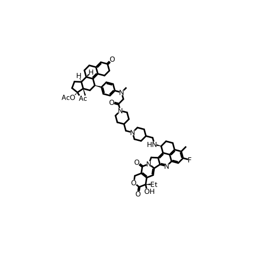 CC[C@@]1(O)C(=O)OCc2c1cc1n(c2=O)Cc2c-1nc1cc(F)c(C)c3c1c2[C@@H](NCC1CCN(CC2CCN(C(=O)CN(C)c4ccc([C@H]5C[C@@]6(C)[C@@H](CC[C@]6(OC(C)=O)C(C)=O)[C@@H]6CCC7=CC(=O)CCC7=C65)cc4)CC2)CC1)CC3